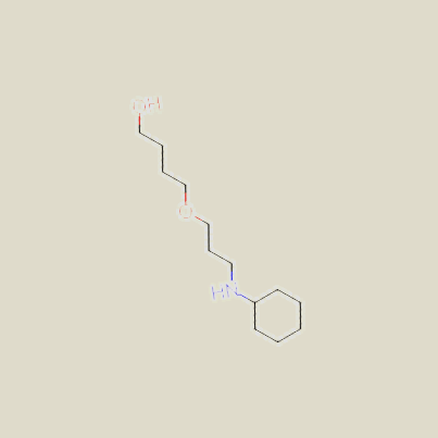 OCCCCOCCCNC1CCCCC1